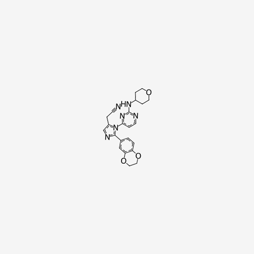 N#CCc1cnc(-c2ccc3c(c2)OCCO3)n1-c1ccnc(NC2CCOCC2)n1